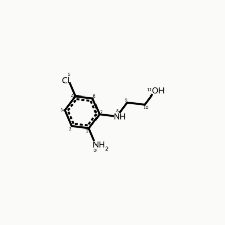 Nc1ccc(Cl)cc1NCCO